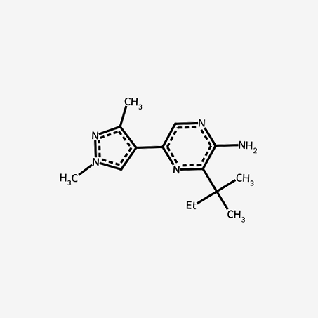 CCC(C)(C)c1nc(-c2cn(C)nc2C)cnc1N